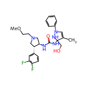 COCCN1C[C@@H](NC(=O)NC2(CO)NN(c3ccccc3)C=C2C)[C@H](c2ccc(F)c(F)c2)C1